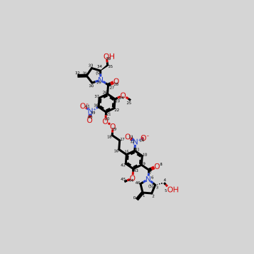 C=C1C[C@@H](CO)N(C(=O)c2cc([N+](=O)[O-])c(CCCOOc3cc(OC)c(C(=O)N4CC(=C)C[C@H]4CO)cc3[N+](=O)[O-])cc2OC)C1